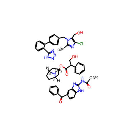 CCCCc1nc(Cl)c(CO)n1Cc1ccc(-c2ccccc2-c2nnn[nH]2)cc1.CN1[C@@H]2CC[C@H]1C[C@@H](OC(=O)C(CO)c1ccccc1)C2.COC(=O)Nc1nc2cc(C(=O)c3ccccc3)ccc2[nH]1